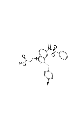 O=C(O)CCn1cc(Cc2ccc(F)cc2)c2cc(NS(=O)(=O)c3ccccc3)ccc21